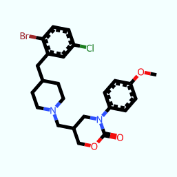 COc1ccc(N2CC(CN3CCC(Cc4cc(Cl)ccc4Br)CC3)COC2=O)cc1